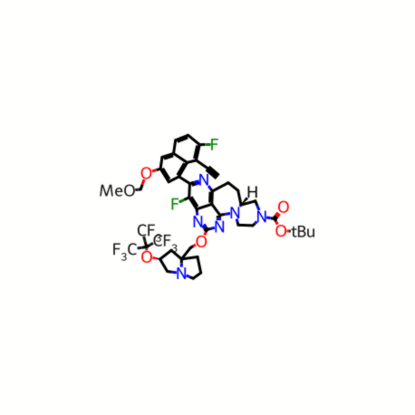 C#Cc1c(F)ccc2cc(OCOC)cc(-c3nc4c5c(nc(OCC67CCCN6C[C@@H](OC(C(F)(F)F)(C(F)(F)F)C(F)(F)F)C7)nc5c3F)N3CCN(C(=O)OC(C)(C)C)C[C@H]3CC4)c12